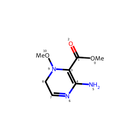 COC(=O)C1=C(N)N=CCN1OC